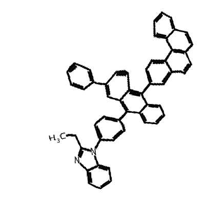 CCc1nc2ccccc2n1-c1ccc(-c2c3ccccc3c(-c3ccc4c(ccc5ccc6ccccc6c54)c3)c3ccc(-c4ccccc4)cc23)cc1